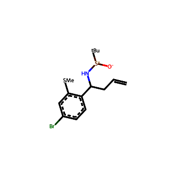 C=CCC(N[S+]([O-])C(C)(C)C)c1ccc(Br)cc1SC